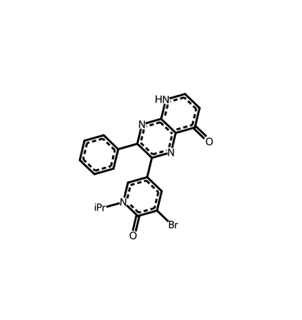 CC(C)n1cc(-c2nc3c(=O)cc[nH]c3nc2-c2ccccc2)cc(Br)c1=O